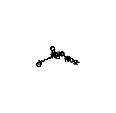 C[Si](C)(C)CCOCn1cc(-c2cccc(C(=O)Nc3nc(CCCCCCN4CCCCC4)cn3-c3ccccc3)c2)cn1